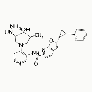 C[C@H]1CN(c2ccncc2NC(=O)c2ccc3cc([C@@H]4C[C@H]4c4ccccc4)oc3n2)C[C@@H](NN)[C@@H]1O